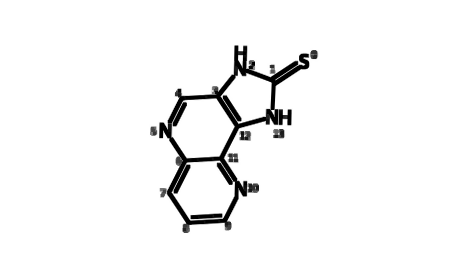 S=c1[nH]c2cnc3cccnc3c2[nH]1